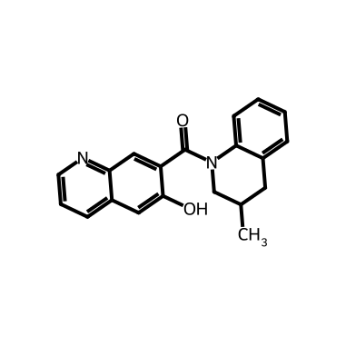 CC1Cc2ccccc2N(C(=O)c2cc3ncccc3cc2O)C1